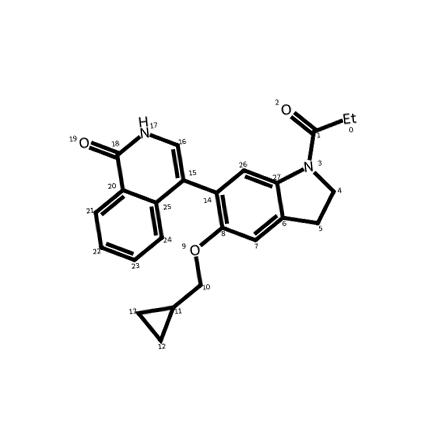 CCC(=O)N1CCc2cc(OCC3CC3)c(-c3c[nH]c(=O)c4ccccc34)cc21